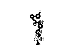 Cn1cc(C(=O)CCC2CCCC2c2cccc(F)c2)c2cc(-c3ccn4nc(NC(=O)C5CC5)cc4n3)ccc21